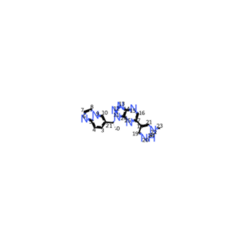 C[C@H](c1ccc2nccn2c1)n1nnc2ncc(/C(C=N)=C/N(C)C)nc21